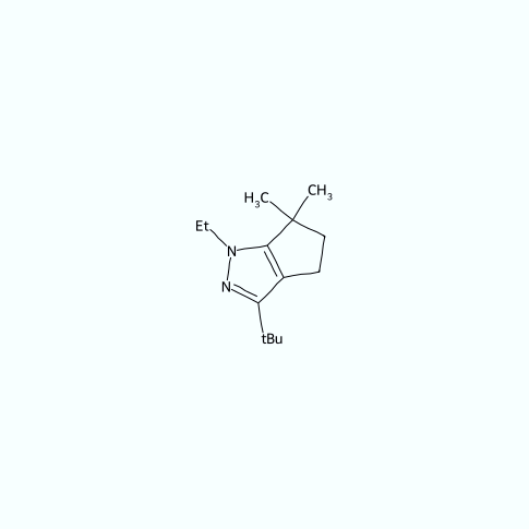 CCn1nc(C(C)(C)C)c2c1C(C)(C)CC2